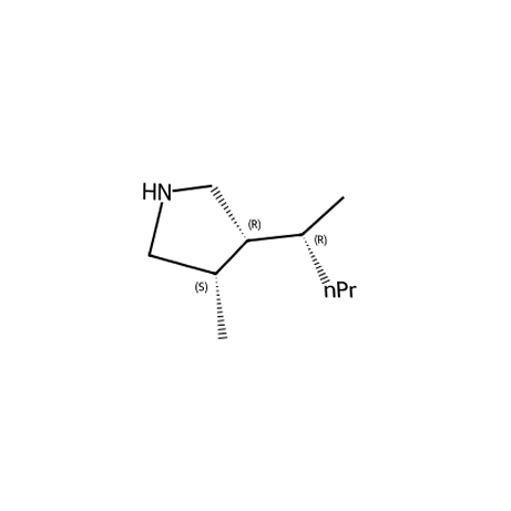 CCC[C@@H](C)[C@H]1CNC[C@H]1C